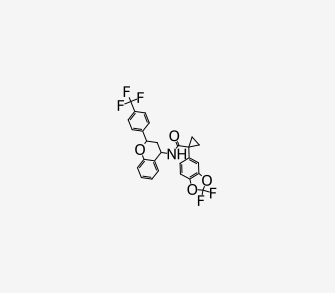 O=C(NC1CC(c2ccc(C(F)(F)F)cc2)Oc2ccccc21)C1(c2ccc3c(c2)OC(F)(F)O3)CC1